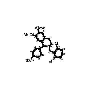 COc1cc2c(cc1OC)C(c1ccc(C(C)(C)C)cc1)N(Cc1c(F)cccc1Cl)CC2